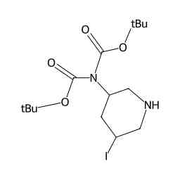 CC(C)(C)OC(=O)N(C(=O)OC(C)(C)C)C1CNCC(I)C1